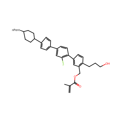 C=C(C)C(=O)OCc1cc(-c2ccc(-c3ccc(C4CCC(CCCCC)CC4)cc3)cc2F)ccc1CCCO